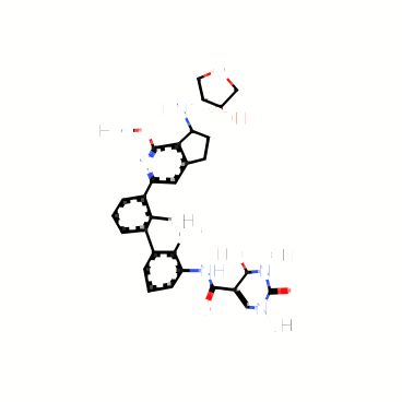 COc1nc(-c2cccc(-c3cccc(NC(=O)C4=CN(C)C(=O)N(C)C4O)c3C)c2C)cc2c1C(N[C@@H]1COC[C@@H]1O)CC2